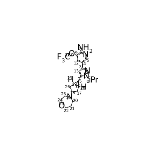 CC(C)n1nc(-c2cnc(N)c(OC(F)(F)F)c2)cc1C1[C@H]2CC(N3CCCOCC3)C[C@@H]12